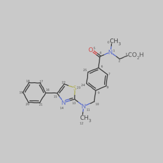 CN(CC(=O)O)C(=O)c1ccc(CN(C)c2nc(-c3ccccc3)cs2)cc1